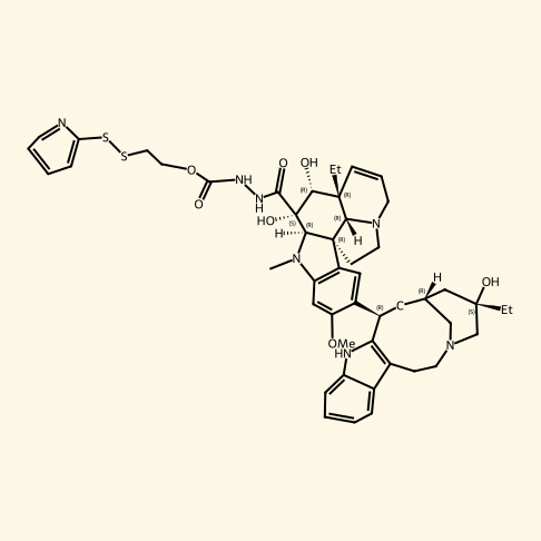 CC[C@]1(O)C[C@H]2C[C@H](c3cc4c(cc3OC)N(C)[C@H]3[C@@](O)(C(=O)NNC(=O)OCCSSc5ccccn5)[C@H](O)[C@]5(CC)C=CCN6CC[C@]43[C@@H]65)c3[nH]c4ccccc4c3CCN(C2)C1